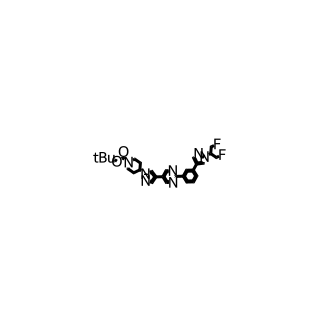 CC(C)(C)OC(=O)N1CCC(n2cc(-c3cnc(-c4cccc(-c5cnn(C(CF)CF)c5)c4)nc3)cn2)CC1